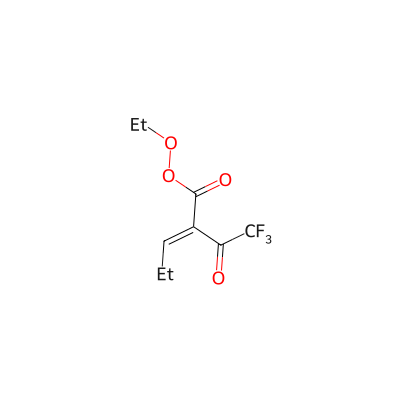 CCC=C(C(=O)OOCC)C(=O)C(F)(F)F